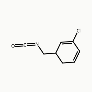 O=C=NCC1C=C(Cl)C=CC1